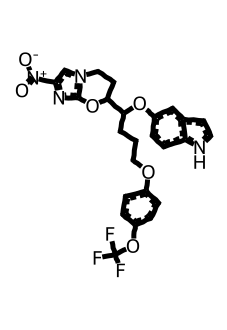 O=[N+]([O-])c1cn2c(n1)OC(C(CCCOc1ccc(OC(F)(F)F)cc1)Oc1ccc3[nH]ccc3c1)CC2